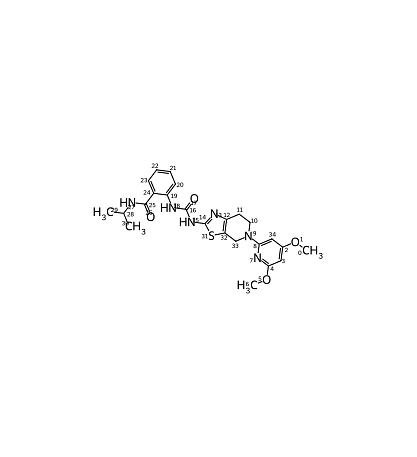 COc1cc(OC)nc(N2CCc3nc(NC(=O)Nc4ccccc4C(=O)NC(C)C)sc3C2)c1